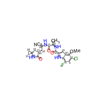 COc1c(Cl)cc(F)c2[nH]c(C(=O)N[C@@H](C)C(=O)N[C@H](C#N)C[C@@H]3CC4(CC4)NC3=O)cc12